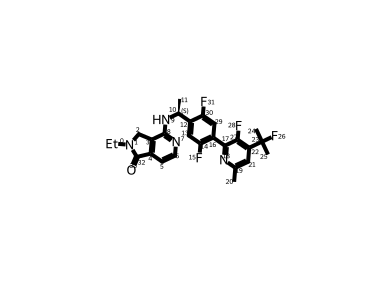 CCN1Cc2c(ccnc2N[C@@H](C)c2cc(F)c(-c3nc(C)cc(C(C)(C)F)c3F)cc2F)C1=O